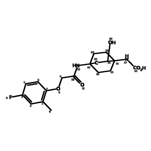 Cc1cc(F)ccc1OCC(=O)NC12CCC(NC(=O)O)(CC1)C(O)C2